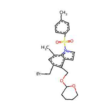 Cc1ccc(S(=O)(=O)n2ccc3c(COC4CCCCO4)c(CC(C)C)cc(C)c32)cc1